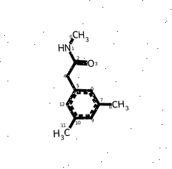 CNC(=O)Cc1cc(C)cc(C)c1